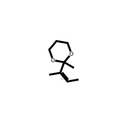 C/C=C(/C)C1(C)OCCCO1